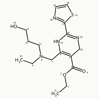 CCOC(=O)C1=C(CN(CC)CCCO)NC(c2nccs2)=NC1